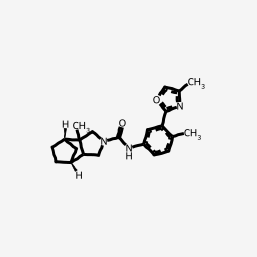 Cc1coc(-c2cc(NC(=O)N3CC4[C@@H]5CC[C@@H](C5)C4(C)C3)ccc2C)n1